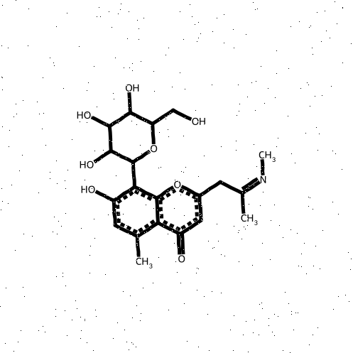 C/N=C(/C)Cc1cc(=O)c2c(C)cc(O)c(C3OC(CO)C(O)C(O)C3O)c2o1